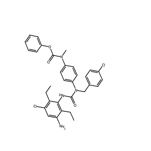 CCc1c(N)cc(Cl)c(CC)c1NC(=O)N(Cc1ccc(Cl)cc1)c1ccc(N(C)C(=O)Oc2ccccc2)cc1